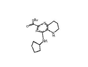 CCCCC(=O)c1nc2c(c(NC3CCCC3)n1)NCCC2